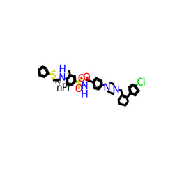 CCC[C@H](CSc1ccccc1)Nc1ccc(S(=O)(=O)NC(=O)c2ccc(N3CCN(CC4=C(c5ccc(Cl)cc5)CCCC4)CC3)cc2)cc1C